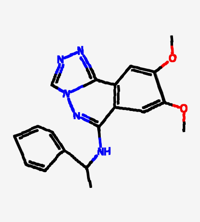 COc1cc2c(NC(C)c3ccccc3)nn3cnnc3c2cc1OC